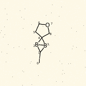 IC1B2B1C21CCOC1